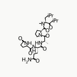 CC(C)C[C@@H](C(=O)C(C)C)N(C)C(=O)[C@@H]1CCCN1C(=O)[C@H](C)NC(=O)[C@H](CCC(N)=O)NC(=O)C1CCC(=O)N1